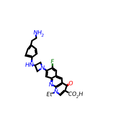 CCn1cc(C(=O)O)c(=O)c2cc3cc(F)c(N4CC(Nc5ccc(CCN)cc5)C4)cc3nc21